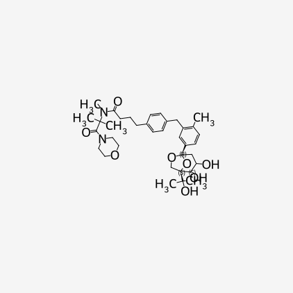 Cc1ccc([C@]23CC(O)[C@H](O)[C@](C(C)(C)O)(CO2)O3)cc1Cc1ccc(CCCC(=O)N(C)C(C)(C)C(=O)N2CCOCC2)cc1